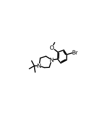 COc1cc(Br)ccc1N1CCN(C(C)(C)C)CC1